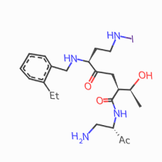 CCc1ccccc1CN[C@@H](CCNI)C(=O)C[C@H](C(=O)N[C@@H](CN)C(C)=O)[C@H](C)O